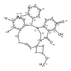 COC1CC2(/C=C/COc3c(ccc(F)c3F)C(c3cncnc3C)N3CN2C(=O)c2c(O)c(=O)ccn23)C1